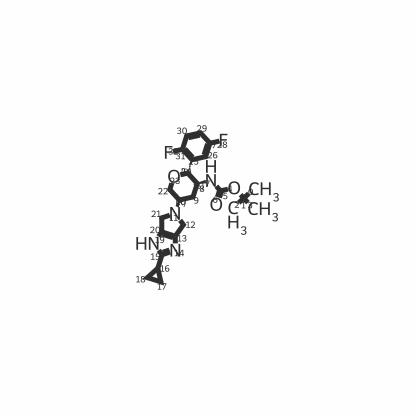 CC(C)(C)OC(=O)N[C@H]1C[C@@H](N2Cc3nc(C4CC4)[nH]c3C2)CO[C@@H]1c1cc(F)ccc1F